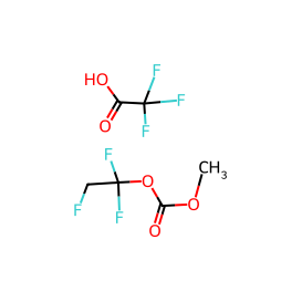 COC(=O)OC(F)(F)CF.O=C(O)C(F)(F)F